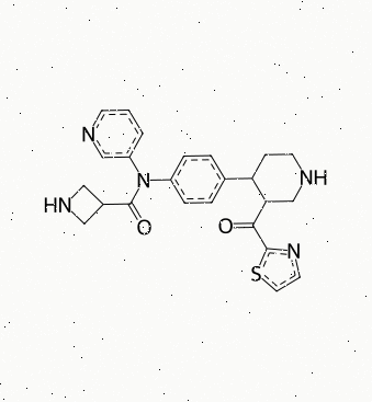 O=C(c1nccs1)C1CNCCC1c1ccc(N(C(=O)C2CNC2)c2cccnc2)cc1